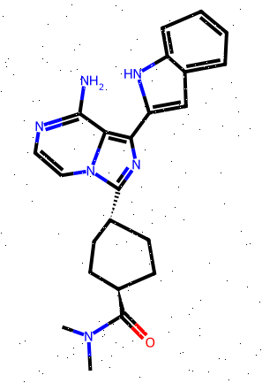 CN(C)C(=O)[C@H]1CC[C@H](c2nc(-c3cc4ccccc4[nH]3)c3c(N)nccn32)CC1